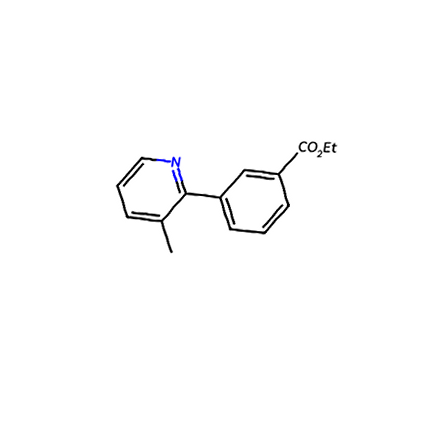 CCOC(=O)c1cccc(-c2ncccc2C)c1